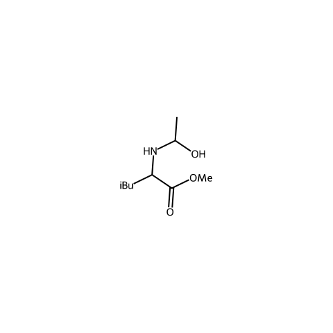 CCC(C)C(NC(C)O)C(=O)OC